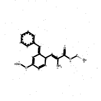 CCCCCCCCCCOC1=CC(=Cc2ccccc2)C(C=C(N)C(=O)OC[C@@H](C)CC)C=C1